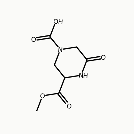 COC(=O)C1CN(C(=O)O)CC(=O)N1